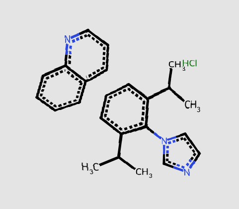 CC(C)c1cccc(C(C)C)c1-n1ccnc1.Cl.c1ccc2ncccc2c1